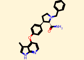 Cc1c[nH]c2nccc(Oc3ccc([C@H]4CCN(Cc5ccccc5)[C@@H]4C(N)=O)cc3)c12